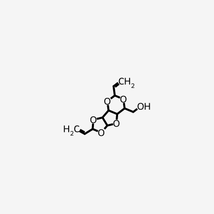 C=CC1OC2OC3C(CO)OC(C=C)OC3C2O1